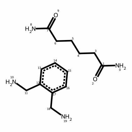 NC(=O)CCCCC(N)=O.NCc1ccccc1CN